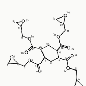 O=C(OCC1CO1)C1CC(C(=O)OCC2CO2)C(C(=O)OCC2CO2)CC1C(=O)OCC1CO1